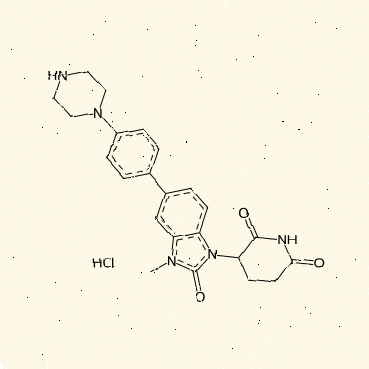 Cl.Cn1c(=O)n(C2CCC(=O)NC2=O)c2ccc(-c3ccc(N4CCNCC4)cc3)cc21